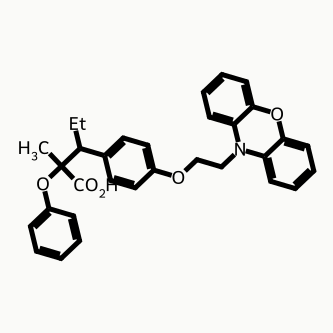 CCC(c1ccc(OCCN2c3ccccc3Oc3ccccc32)cc1)C(C)(Oc1ccccc1)C(=O)O